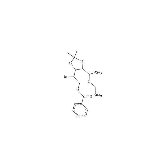 COCOC(C=O)C1OC(C)(C)OC1C(Br)COC(=O)c1ccccc1